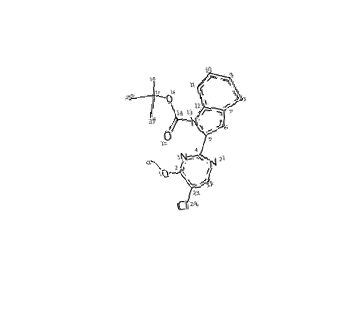 COc1nc(-c2cc3ccccc3n2C(=O)OC(C)(C)C)ncc1Cl